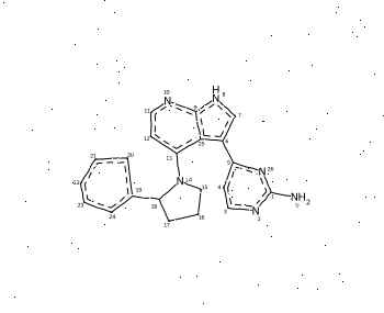 Nc1nccc(-c2c[nH]c3nccc(N4CCCC4c4ccccc4)c23)n1